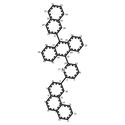 c1cc(-c2ccc3ccc4ccccc4c3c2)nc(-c2c3ccccc3c(-c3ccc4ccccc4c3)c3ccccc23)c1